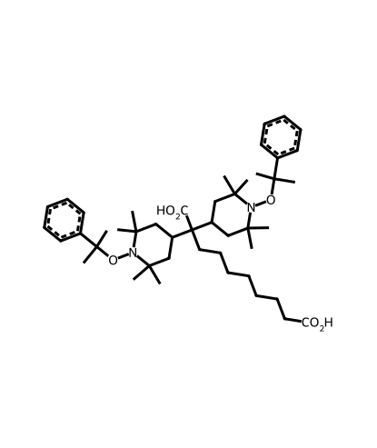 CC(C)(ON1C(C)(C)CC(C(CCCCCCCC(=O)O)(C(=O)O)C2CC(C)(C)N(OC(C)(C)c3ccccc3)C(C)(C)C2)CC1(C)C)c1ccccc1